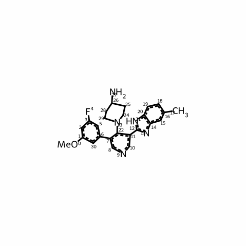 COc1cc(F)cc(-c2cncc(-c3nc4cc(C)ccc4[nH]3)c2N2CCC(N)CC2)c1